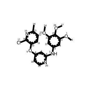 COc1cc(Nc2cc(Oc3ccc(C)nc3Cl)ccn2)cc(OC)c1OC